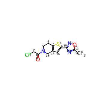 O=C(CCl)N1CCc2sc(-c3noc(C(F)(F)F)n3)cc2C1